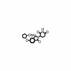 CO[C@@H]1CCC[C@H]1Oc1ccc2c(c1)CN(C1CCC(=O)NC1=O)C2=O